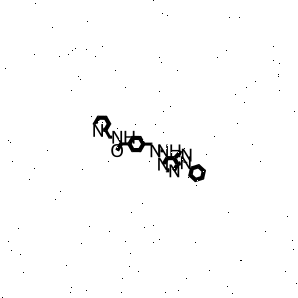 O=C(NCc1ccccn1)c1ccc(C=NNc2ncnc3c2cnn3-c2ccccc2)cc1